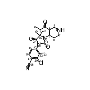 CCC(=O)C1CNCCC1N1C(=O)N(c2ccc(C#N)c(Cl)c2C)C(=O)C1(C)C